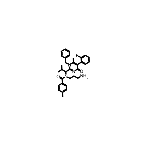 Cc1ccc(C(=O)N(CCCN)C(c2nc(=O)c(-c3ccccc3F)c(C)n2Cc2ccccc2)C(C)C)cc1